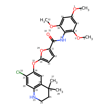 COc1cc(OC)c(NC(=O)c2ccc(Oc3cc4c(cc3Cl)NCCC4(C)C)o2)c(OC)c1